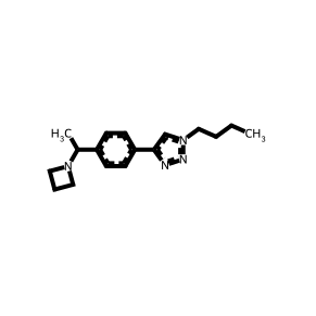 CCCCn1cc(-c2ccc(C(C)N3CCC3)cc2)nn1